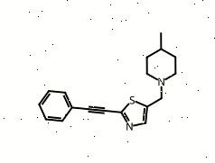 CC1CCN(Cc2cnc(C#Cc3ccccc3)s2)CC1